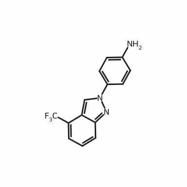 Nc1ccc(-n2cc3c(C(F)(F)F)cccc3n2)cc1